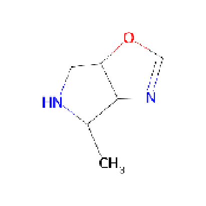 CC1NCC2OC=NC12